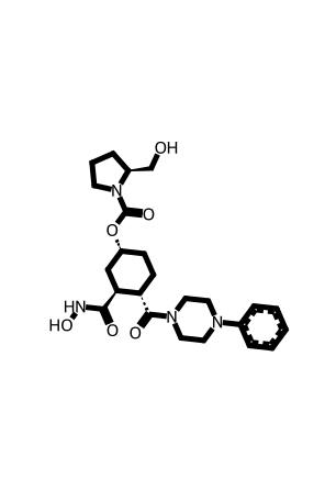 O=C(NO)[C@H]1C[C@H](OC(=O)N2CCC[C@H]2CO)CC[C@@H]1C(=O)N1CCN(c2ccccc2)CC1